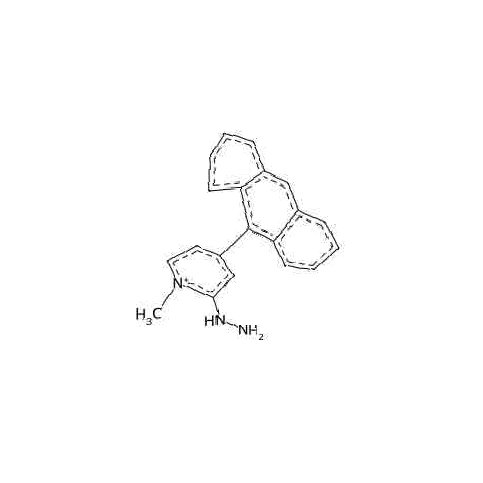 C[n+]1ccc(-c2c3ccccc3cc3ccccc23)cc1NN